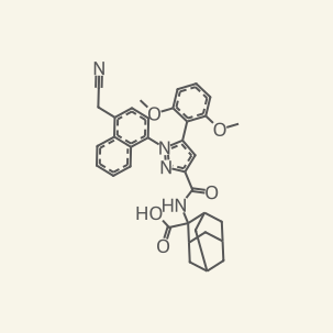 COc1cccc(OC)c1-c1cc(C(=O)NC2(C(=O)O)C3CC4CC(C3)CC2C4)nn1-c1ccc(CC#N)c2ccccc12